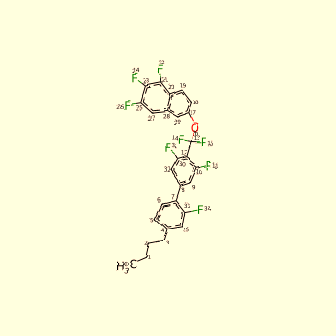 CCCCc1ccc(-c2cc(F)c(C(F)(F)Oc3ccc4c(F)c(F)c(F)cc4c3)c(F)c2)c(F)c1